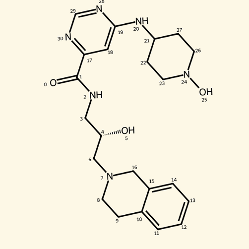 O=C(NC[C@H](O)CN1CCc2ccccc2C1)c1cc(NC2CCN(O)CC2)ncn1